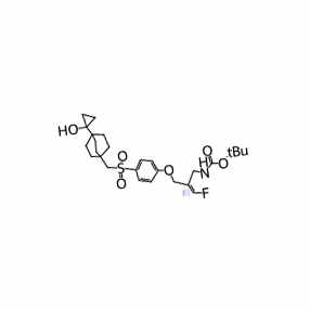 CC(C)(C)OC(=O)NC/C(=C\F)COc1ccc(S(=O)(=O)CC23CCC(C4(O)CC4)(CC2)CC3)cc1